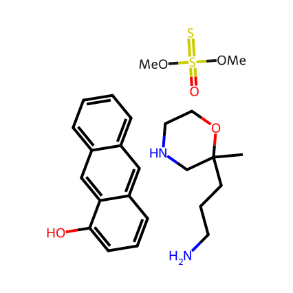 CC1(CCCN)CNCCO1.COS(=O)(=S)OC.Oc1cccc2cc3ccccc3cc12